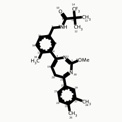 COC1=NC(c2cc(CNC(=O)C(C)(C)C(F)(F)F)ccc2C)=CCC(c2ccc(C)c(C)c2)=N1